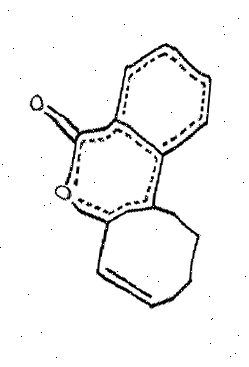 O=c1oc2c(c3ccccc13)CCC=C2